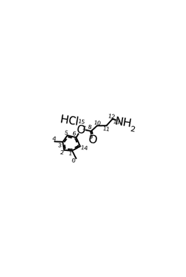 Cc1cc(C)cc(OC(=O)CCCN)c1.Cl